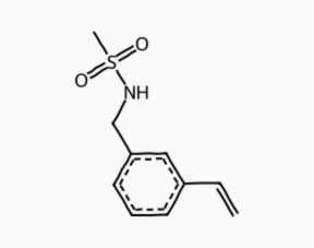 C=Cc1cccc(CNS(C)(=O)=O)c1